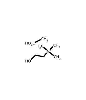 CC(=O)O.C[N+](C)(C)CCO